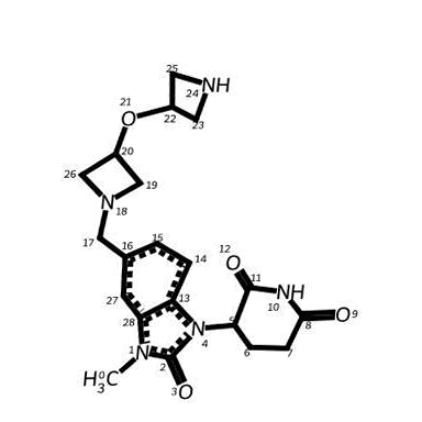 Cn1c(=O)n(C2CCC(=O)NC2=O)c2ccc(CN3CC(OC4CNC4)C3)cc21